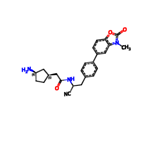 Cn1c(=O)oc2ccc(-c3ccc(CC(C#N)NC(=O)C[C@H]4CC[C@@H](N)C4)cc3)cc21